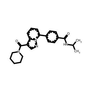 CC(C)NC(=O)c1ccc(-c2cccc3c(C(=O)N4CCCCC4)cnn23)cc1